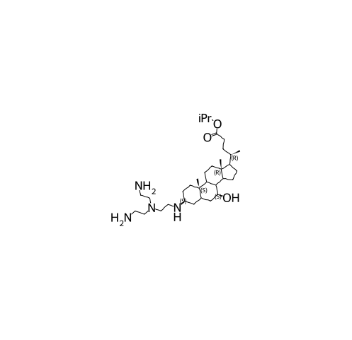 CC(C)OC(=O)CC[C@@H](C)C1CCC2C3C(CC[C@@]21C)[C@@]1(C)CC[C@H](NCCN(CCN)CCN)CC1C[C@@H]3O